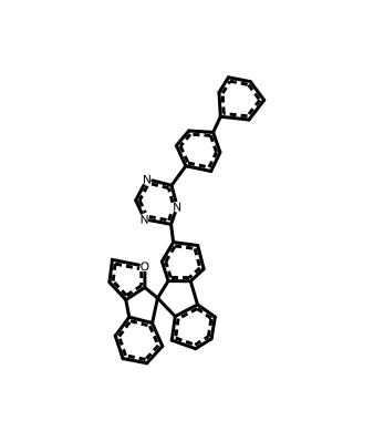 c1ccc(-c2ccc(-c3ncnc(-c4ccc5c(c4)C4(c6ccccc6-5)c5ccccc5-c5ccoc54)n3)cc2)cc1